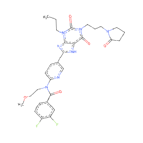 CCCn1c(=O)n(CCCN2CCCC2=O)c(=O)c2[nH]c(-c3ccc(N(CCOC)C(=O)c4ccc(F)c(F)c4)nc3)nc21